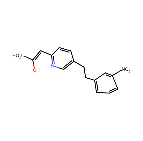 O=C(O)/C(O)=C/c1ccc(CCc2cccc([N+](=O)[O-])c2)cn1